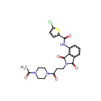 CC(=O)N1CCN(C(=O)CCN2C(=O)c3cccc(NC(=O)c4ccc(Cl)s4)c3C2=O)CC1